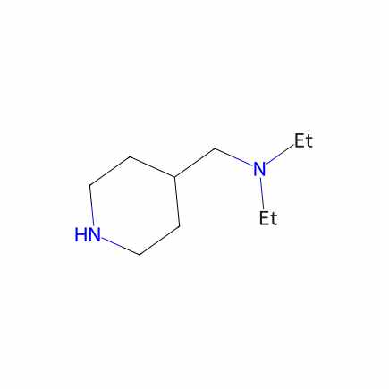 CCN(CC)CC1CCNCC1